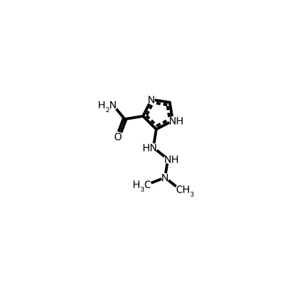 CN(C)NNc1[nH]cnc1C(N)=O